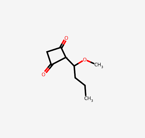 CCCC(OC)[C]1C(=O)CC1=O